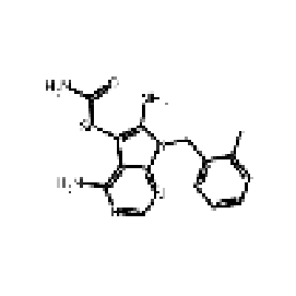 Cc1ccccc1Cn1c(N)c([Se]C(N)=O)c2c(N)ncnc21